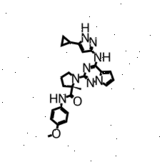 COc1ccc(NC(=O)[C@]2(C)CCCN2c2nc(Nc3cc(C4CC4)[nH]n3)c3cccn3n2)cc1